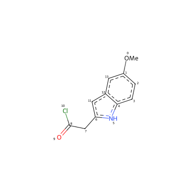 COc1ccc2[nH]c(CC(=O)Cl)cc2c1